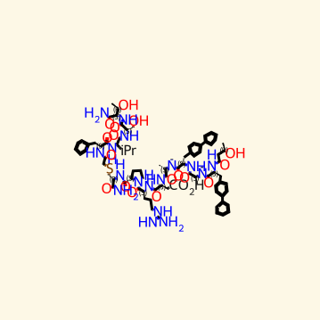 CC(C)C(NC(=O)[C@H](Cc1ccccc1)NC(=O)CSC[C@H](NC(=O)[C@@H]1CCCN1C(=O)[C@H](CCCNC(=N)N)NC(=O)[C@H](CC(=O)O)NC(=O)[C@H](C)N(C)C(=O)[C@H](Cc1ccc(-c2ccccc2)cc1)NC(=O)[C@H](C)N(C)C(=O)[C@H](Cc1ccc(-c2ccccc2)cc1)NC(=O)C[C@@H](C)O)C(N)=O)C(=O)N[C@@H](CO)C(=O)N[C@H](C(N)=O)[C@@H](C)O